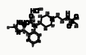 Cc1noc(-c2ccccc2N(C(=O)O)C2CCN(CCNS(C)(=O)=O)CC2)n1.Cl